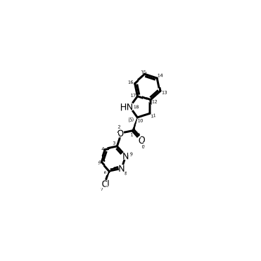 O=C(Oc1ccc(Cl)nn1)[C@@H]1Cc2ccccc2N1